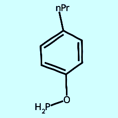 CCCc1ccc(OP)cc1